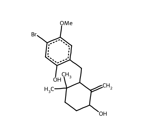 C=C1C(O)CCC(C)(C)C1Cc1cc(OC)c(Br)cc1O